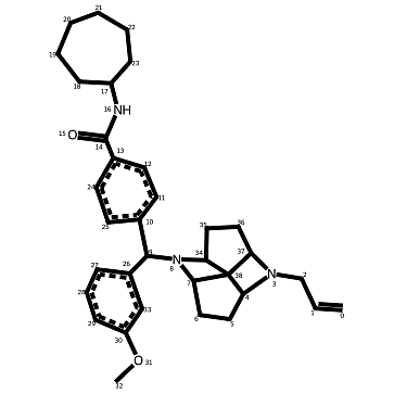 C=CCN1C2CCC3N(C(c4ccc(C(=O)NC5CCCCCC5)cc4)c4cccc(OC)c4)C4CCC1C234